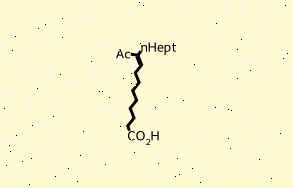 CCCCCCCC(=CCCCCCCCC(=O)O)C(C)=O